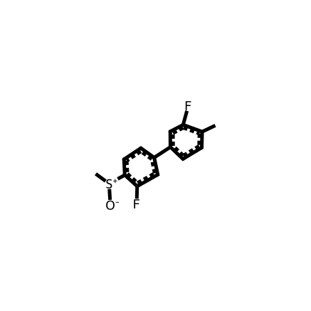 Cc1ccc(-c2ccc([S+](C)[O-])c(F)c2)cc1F